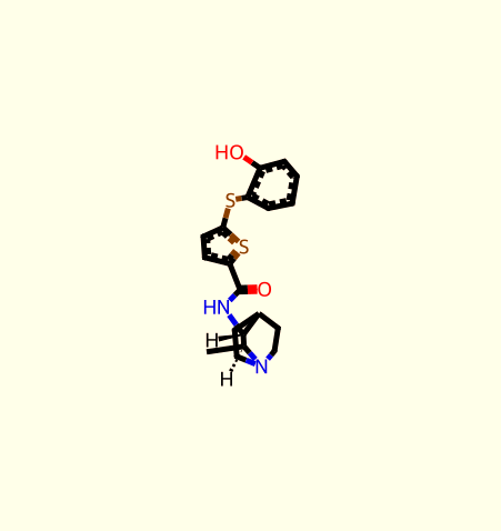 C[C@H]1[C@H](NC(=O)c2ccc(Sc3ccccc3O)s2)C2CCN1CC2